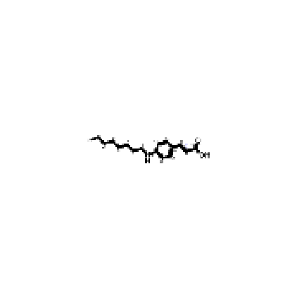 CCCCCCCCNc1ccc(/C=C/C(=O)O)cc1